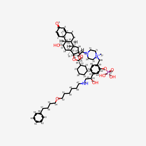 C[C@]12C=CC(=O)C=C1CC[C@@H]1[C@@H]2[C@@H](O)C[C@@]2(C)[C@H]1C[C@H]1O[C@@H](C3CCCCC3)O[C@]12C(=O)CN1CC[N+](C)(Cc2ccc(C(O)CNCCCCCCOCCCCc3ccccc3)cc2OP(=O)(O)O)CC1